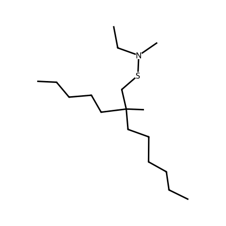 CCCCCCC(C)(CCCCC)CSN(C)CC